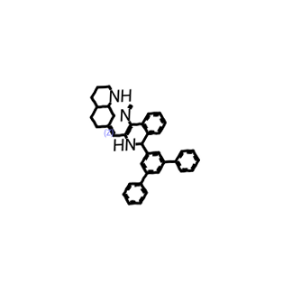 C=NC1=C(/C=C2/CCC3CCCNC3C2)NC(c2cc(-c3ccccc3)cc(-c3ccccc3)c2)c2ccccc21